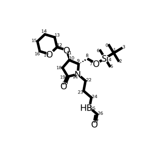 CC(C)(C)[Si](C)(C)OC[C@H]1[C@H](OC2CCCCO2)CC(=O)N1CCCBC=O